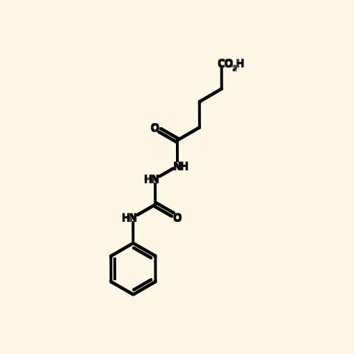 O=C(O)CCCC(=O)NNC(=O)Nc1ccccc1